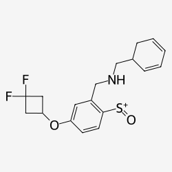 O=[S+]c1ccc(OC2CC(F)(F)C2)cc1CNCC1C=CC=CC1